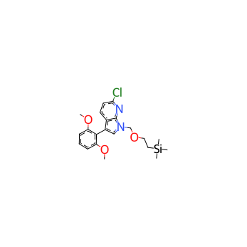 COc1cccc(OC)c1-c1cn(COCC[Si](C)(C)C)c2nc(Cl)ccc12